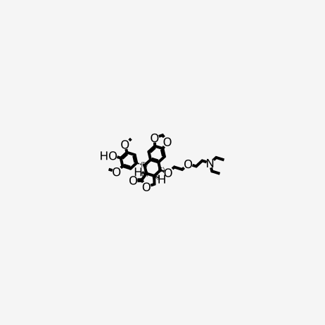 CCN(CC)CCOCCO[C@@H]1c2cc3c(cc2[C@@H](c2cc(OC)c(O)c(OC)c2)[C@H]2C(=O)OC[C@@H]21)OCO3